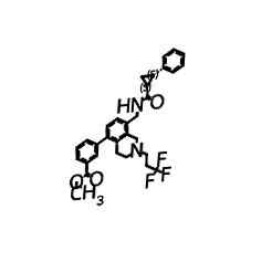 COC(=O)c1cccc(-c2ccc(CNC(=O)[C@H]3C[C@@H]3c3ccccc3)c3c2CCN(CCC(F)(F)F)C3)c1